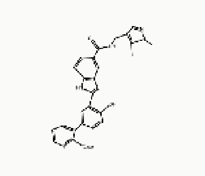 COc1ncccc1-c1ccc(O)c(-c2nc3cc(C(=O)NCc4cnn(C)c4C)ccc3[nH]2)c1